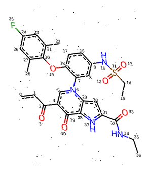 C=CC(=O)c1cn(-c2cc(NS(=O)(=O)CC)ccc2Oc2c(C)cc(F)cc2C)c2cc(C(=O)NCC)[nH]c2c1=O